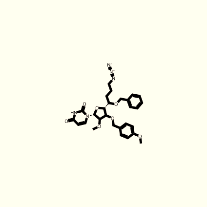 COc1ccc(COC2C(OC)[C@H](n3ccc(=O)[nH]c3=O)O[C@@H]2C(CCCN=[N+]=[N-])OCc2ccccc2)cc1